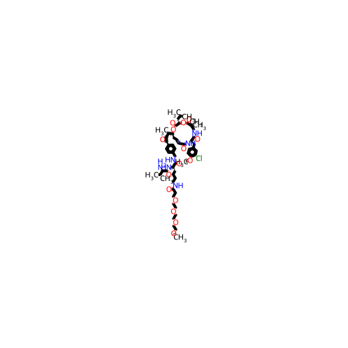 COCCOCCOCCOCCC(=O)NCCCC[C@H](NC(=O)[C@@H](N)C(C)C)C(=O)NCc1ccc([C@H]2O[C@@H]2[C@@H](C)[C@@H]2C/C=C/C(=O)N[C@H](Cc3ccc(OC)c(Cl)c3)C(=O)NCC(C)(C)C(=O)O[C@@H](CC(C)C)C(=O)O2)cc1